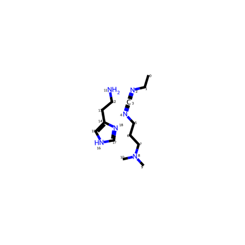 CCN=C=NCCCN(C)C.NCCc1c[nH]cn1